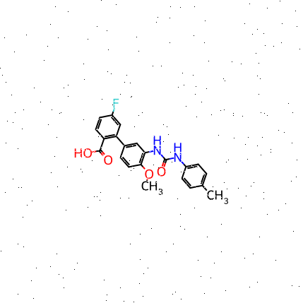 COc1ccc(-c2cc(F)ccc2C(=O)O)cc1NC(=O)Nc1ccc(C)cc1